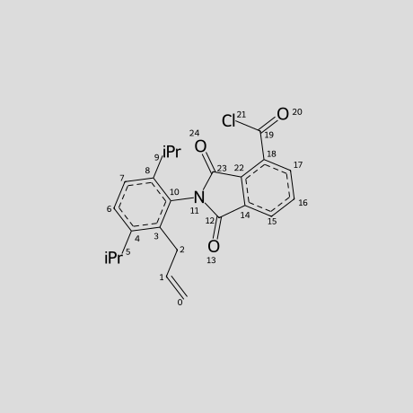 C=CCc1c(C(C)C)ccc(C(C)C)c1N1C(=O)c2cccc(C(=O)Cl)c2C1=O